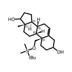 CC(C)(C)[Si](C)(C)OC[C@]12CCC(O)CC1=CC[C@@H]1[C@H]2CC[C@]2(C)C(O)CC[C@@H]12